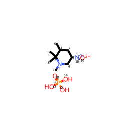 CC1CCCN(C)C1(C)C.O=P(O)(O)O.[N+3].[O+2]